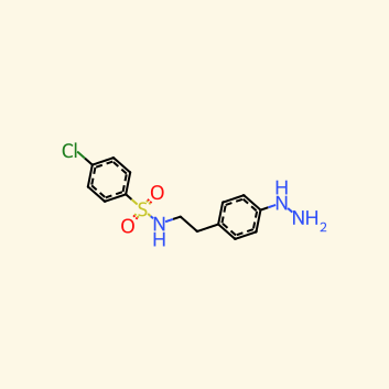 NNc1ccc(CCNS(=O)(=O)c2ccc(Cl)cc2)cc1